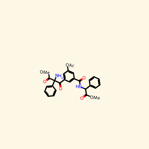 COC(=O)C(NC(=O)c1cc(OC(C)=O)cc(C(=O)C(N)(C(=O)OC)c2ccccc2)c1)c1ccccc1